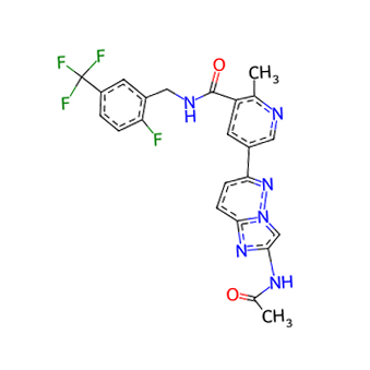 CC(=O)Nc1cn2nc(-c3cnc(C)c(C(=O)NCc4cc(C(F)(F)F)ccc4F)c3)ccc2n1